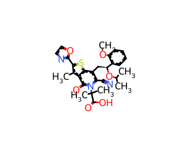 COc1ccccc1[C@H](Cc1c(C#N)n(C(C)(C)C(=O)O)c(=O)c2c(C)c(-c3ncco3)sc12)OC(C)C